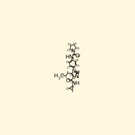 CCCc1c(C(=O)NC2CC2)nnn1-c1ccc(NC(=O)N2CCCC2)cc1